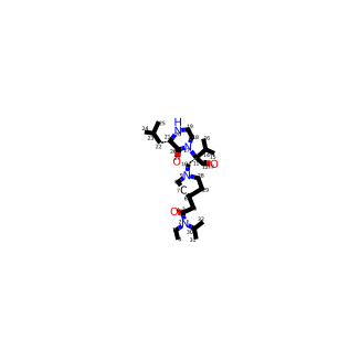 CCN(C(=O)CC1CCN(C[C@@](C=O)(C(C)C)N2CCN[C@@H](CC(C)C)C2=O)CC1)C(C)C